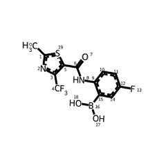 Cc1nc(C(F)(F)F)c(C(=O)Nc2ccc(F)cc2B(O)O)s1